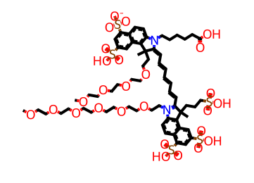 COCCOCCOCCOCCOCCOCC[N+]1=C(/C=C/C=C/C=C/C=C2/N(CCCCCC(=O)O)c3ccc4c(S(=O)(=O)[O-])cc(S(=O)(=O)O)cc4c3C2(C)CCOCCOCCOCCOC)C(C)(CCCS(=O)(=O)O)c2c1ccc1c(S(=O)(=O)O)cc(S(=O)(=O)O)cc21